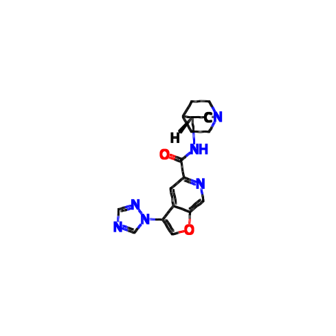 O=C(N[C@H]1CN2CCC1CC2)c1cc2c(-n3cncn3)coc2cn1